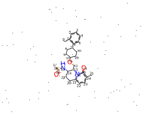 Cc1ccccc1C1CCC(OCC2C(N[S+](C)[O-])CCc3ccc(C)c(=O)n32)CC1